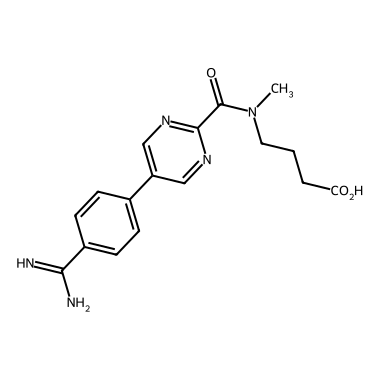 CN(CCCC(=O)O)C(=O)c1ncc(-c2ccc(C(=N)N)cc2)cn1